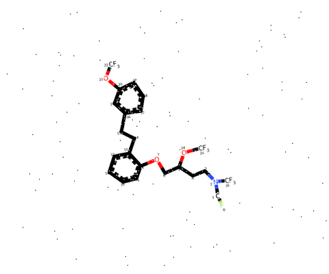 FCN(CCC(COc1ccccc1CCc1cccc(OC(F)(F)F)c1)OC(F)(F)F)C(F)(F)F